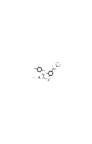 CC(C)(C)OC(=O)N[C@H]1CS(=O)(=O)c2ccc(C(=O)N[C@@H]3CCOC3)cc2N(Cc2ccc(Cl)cc2)C1=O